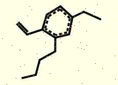 C=Cc1ccc(CC)cc1CCCC